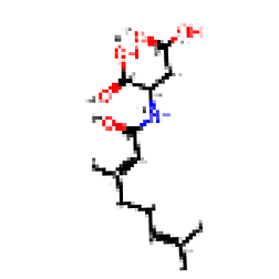 CC(C)=CCCC(C)=CC(=O)NC(CC(=O)O)C(=O)O